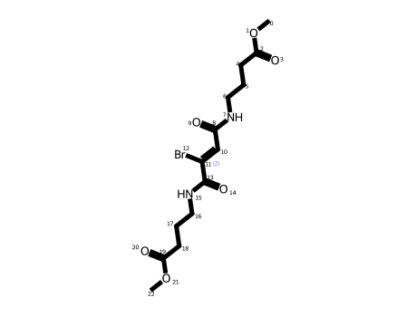 COC(=O)CCCNC(=O)/C=C(\Br)C(=O)NCCCC(=O)OC